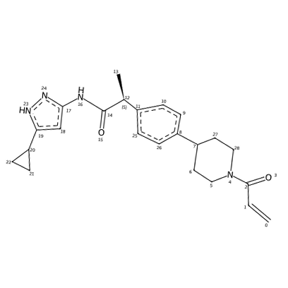 C=CC(=O)N1CCC(c2ccc([C@H](C)C(=O)Nc3cc(C4CC4)[nH]n3)cc2)CC1